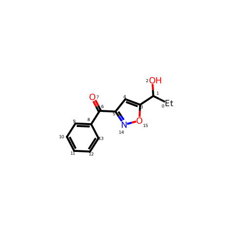 CCC(O)c1cc(C(=O)c2ccccc2)no1